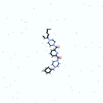 C=C/C(=C\C=C/C)N1CCN(C(=O)c2cccc(C(=O)N3CCN(Cc4ccc(F)cc4)CC3)n2)CC1